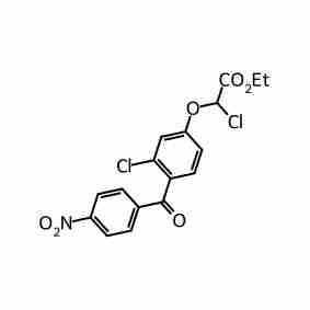 CCOC(=O)C(Cl)Oc1ccc(C(=O)c2ccc([N+](=O)[O-])cc2)c(Cl)c1